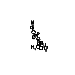 CC(C)(C)OC(=O)N1CCC(N(C(=O)c2ccc(-c3ccc(C#N)s3)cc2)C2CC2)CC1